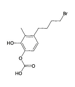 Cc1c(CCCCBr)ccc(OC(=O)O)c1O